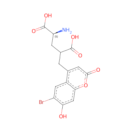 N[C@@H](CC(Cc1cc(=O)oc2cc(O)c(Br)cc12)C(=O)O)C(=O)O